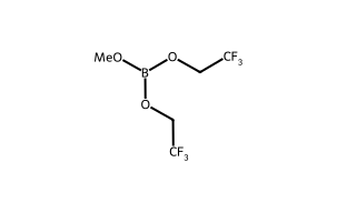 COB(OCC(F)(F)F)OCC(F)(F)F